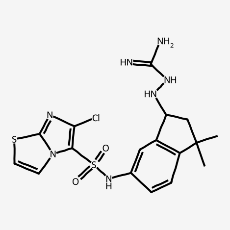 CC1(C)CC(NNC(=N)N)c2cc(NS(=O)(=O)c3c(Cl)nc4sccn34)ccc21